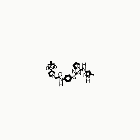 Cc1cc(Nc2nc(Sc3ccc(NC(=O)CN4CC[C@@H](S(=O)(=O)C(C)(C)C)C4)cc3)nc3cccn23)n[nH]1